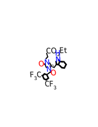 CCOC(=O)CCCN1C[C@@H](Cc2c[nH]c3ccccc23)N(C(=O)c2cc(C(F)(F)F)cc(C(F)(F)F)c2)CC1=O